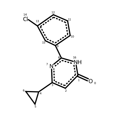 O=c1cc(C2CC2)nc(-c2cccc(Cl)c2)[nH]1